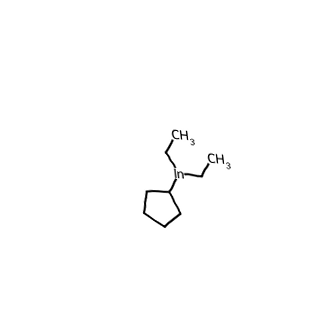 C[CH2][In]([CH2]C)[CH]1CCCC1